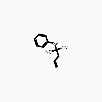 C=CCC(C#N)(C#N)[Se]c1ccccc1